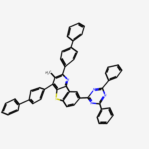 Cc1c(-c2ccc(-c3ccccc3)cc2)nc2c(sc3ccc(-c4nc(-c5ccccc5)nc(-c5ccccc5)n4)cc32)c1-c1ccc(-c2ccccc2)cc1